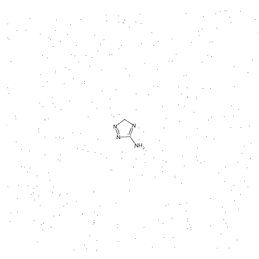 NC1=NCN=N1